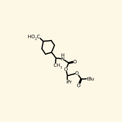 CC(C)C(OC(=O)NC(C)C1CCC(C(=O)O)CC1)OC(=O)C(C)(C)C